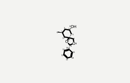 C[C@H]1C[C@H](O)C[C@@]2(CO[C@H](c3ccccc3)O2)C1